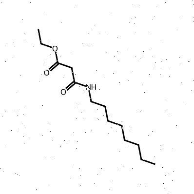 CCCCCCCCNC(=O)CC(=O)OCC